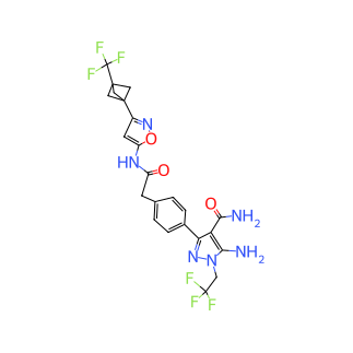 NC(=O)c1c(-c2ccc(CC(=O)Nc3cc(C45CC(C(F)(F)F)(C4)C5)no3)cc2)nn(CC(F)(F)F)c1N